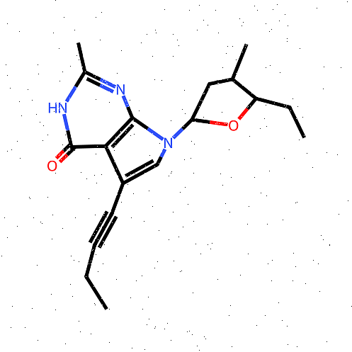 CCC#Cc1cn(C2CC(C)C(CC)O2)c2nc(C)[nH]c(=O)c12